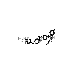 C=C(N1CCC(n2c(OCCC)nc3cc(C)ccc32)CC1)C1(F)CCN(Cc2cnc(N)nc2)CC1